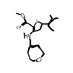 COC(=O)C1=C(NC2CCOCC2)CC(C(C)(C)C)S1